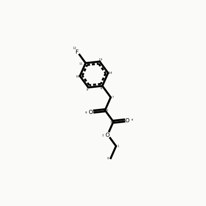 CCOC(=O)C(=O)Cc1ccc(F)cc1